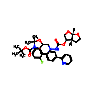 CC(C)(C)OC(=O)N1[C@H](Cc2ccc(-c3ccccn3)cc2)[C@H](CN(Cc2ccccc2F)NC(=O)O[C@H]2CO[C@H]3OCC[C@H]32)OC1(C)C